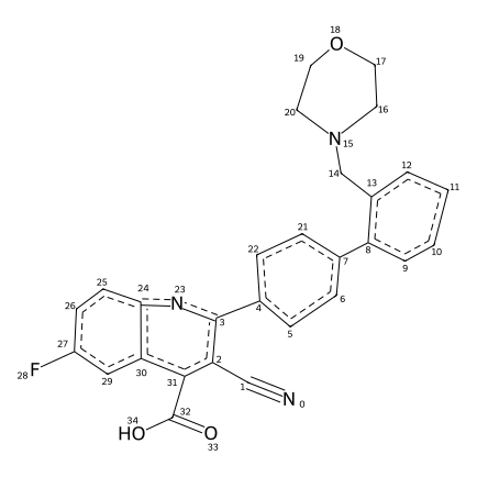 N#Cc1c(-c2ccc(-c3ccccc3CN3CCOCC3)cc2)nc2ccc(F)cc2c1C(=O)O